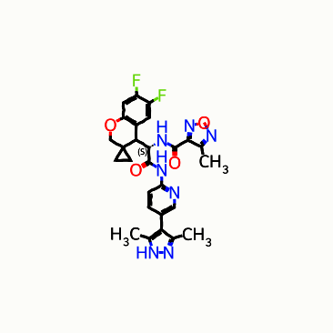 Cc1nonc1C(=O)N[C@H](C(=O)Nc1ccc(-c2c(C)n[nH]c2C)cn1)C1c2cc(F)c(F)cc2OCC12CC2